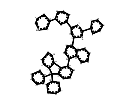 c1ccc(-c2nc(-c3cccc(-c4cccnc4)c3)cc(-c3ccc(-c4cccc5c4-c4ccccc4C5(c4ccccc4)c4ccccc4)c4ccccc34)n2)cc1